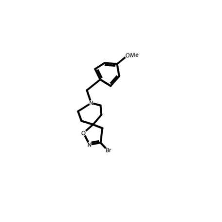 COc1ccc(CN2CCC3(CC2)CC(Br)=NO3)cc1